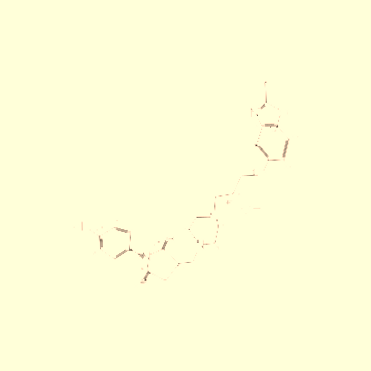 Cc1nc2cc(OC[C@H](O)CN3CCN(CC4CC(=O)N(c5ccc(F)cc5)C4=O)CC3)ccc2s1